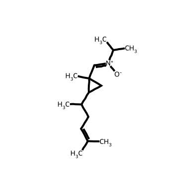 CC(C)=CCC(C)C1CC1(C)C=[N+]([O-])C(C)C